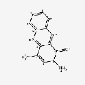 CC1=CC(N)C(=O)c2nc3ccccc3nc21